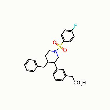 O=C(O)Cc1cccc(C2CN(S(=O)(=O)c3ccc(F)cc3)CCC2Cc2ccccc2)c1